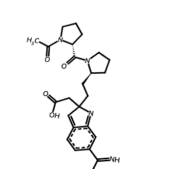 CC(=O)N1CCC[C@@H]1C(=O)N1CCC[C@H]1CCC1(CC(=O)O)C=c2ccc(C(=N)N)cc2=N1